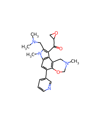 CN(C)Cc1c(C(=O)C2CO2)c2c3c(c(-c4cccnc4)cc2n1C)OCN(C)C3